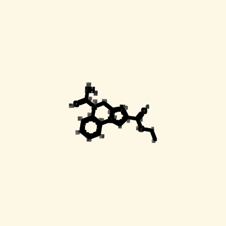 CCOC(=O)c1cn2c(n1)CN(C(N)=O)c1ccccc1-2